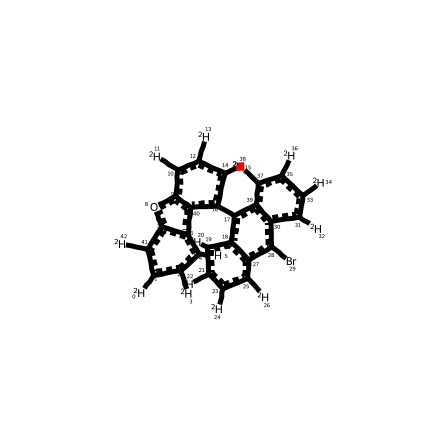 [2H]c1c([2H])c([2H])c2c(oc3c([2H])c([2H])c([2H])c(-c4c5c([2H])c([2H])c([2H])c([2H])c5c(Br)c5c([2H])c([2H])c([2H])c([2H])c45)c32)c1[2H]